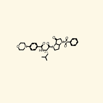 CC(C)C[C@H](NC(=O)c1ccc(N2CCOCC2)cc1)C(=O)N1CCC2C1C(=O)CN2S(=O)(=O)c1ccccc1